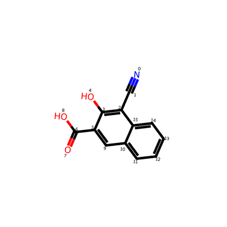 N#Cc1c(O)c(C(=O)O)cc2ccccc12